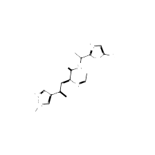 C=C(/C=C(\N=C/C)C(=O)NC(C)c1ncc(C(C)=O)s1)c1cnn(C)c1